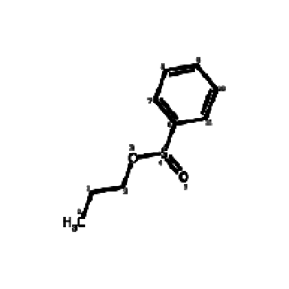 CCCOS(=O)c1ccccc1